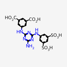 Nc1nc(Nc2cc(C(=O)O)cc(C(=O)O)c2)nc(Nc2cc(S(=O)(=O)O)cc(S(=O)(=O)O)c2)n1